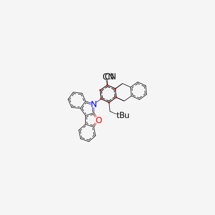 CC(C)(C)Cc1c(-n2c3ccccc3c3c4ccccc4oc32)cc(C#N)c2c1C1c3ccccc3C2c2c(C#N)cccc21